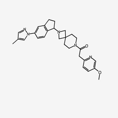 COc1ccc(CC(=O)N2CCC3(CC2)CN(C2CCc4cc(-n5cc(C)cn5)ccc42)C3)nc1